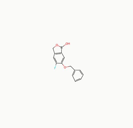 OB1OCc2cc(F)c(OCc3ccccc3)cc21